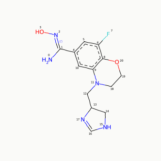 N/C(=N\O)c1cc(F)c2c(c1)N(CC1CNC=N1)CCO2